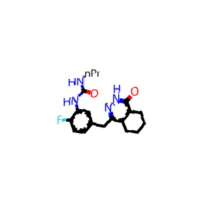 CCCNC(=O)Nc1cc(Cc2n[nH]c(=O)c3c2CCCC3)ccc1F